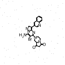 Nc1c(Br)c(N2CCN3C(=O)CC(=O)C3C2)nc2c(-c3cnc4ccccc4c3)cnn12